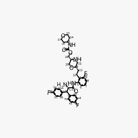 N[C@H](C(=O)Nc1cccc(F)c1CC[C@@H]1CN[C@H](COC(=O)NC2CCOCC2)CO1)C(c1ccc(F)cc1)c1ccc(F)cc1